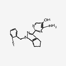 Nc1nc(-c2nn(Cc3ccccc3F)c3c2CCC3)ncc1O